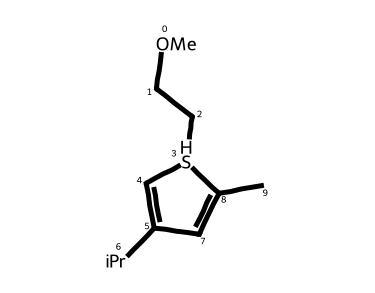 COCC[SH]1C=C(C(C)C)C=C1C